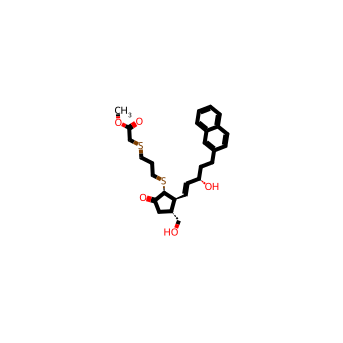 COC(=O)CSCCCS[C@H]1C(=O)C[C@@H](CO)[C@@H]1C=C[C@@H](O)CCc1ccc2ccccc2c1